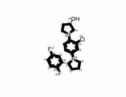 O[C@H]1CCN(c2ccc(N3[CH]CC[C@@H]3c3cc(F)ccc3F)cc2Cl)C1